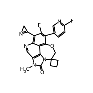 Cn1c(=O)n2c3c4c(c(-c5ccc(F)nc5)c(F)c(C5=NC5)c4ncc31)OCC21CCC1